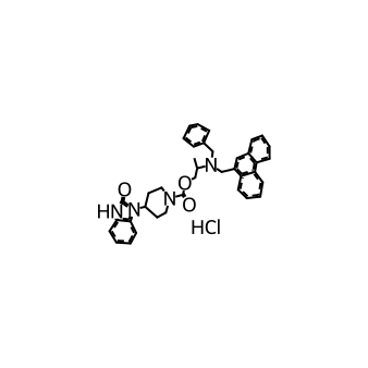 CC(COC(=O)N1CCC(n2c(=O)[nH]c3ccccc32)CC1)N(Cc1ccccc1)Cc1cc2ccccc2c2ccccc12.Cl